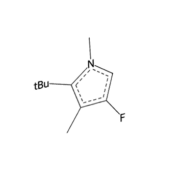 Cc1c(F)cn(C)c1C(C)(C)C